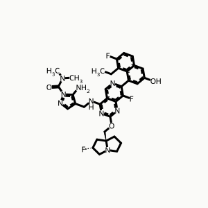 CCc1c(F)ccc2cc(O)cc(-c3ncc4c(NCc5cnn(C(=O)N(C)C)c5N)nc(OC[C@@]56CCCN5C[C@H](F)C6)nc4c3F)c12